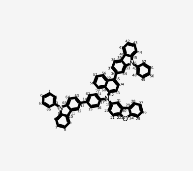 c1ccc(-n2c3ccccc3c3cc(-c4ccc(N(c5ccc6oc7ccccc7c6c5)c5ccc(-c6ccc7c8ccccc8n(-c8ccccc8)c7c6)c6ccccc56)cc4)ccc32)cc1